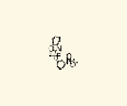 O=[N+]([O-])c1cccc(CC(F)(F)c2nc3ccccc3o2)c1